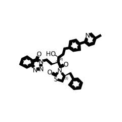 Cc1ccc(-c2ccc(CC[C@@H](O)[C@H](CCn3nnc4ccccc4c3=O)C(=O)N3C(=O)SC[C@@H]3Cc3ccccc3)cc2)nc1